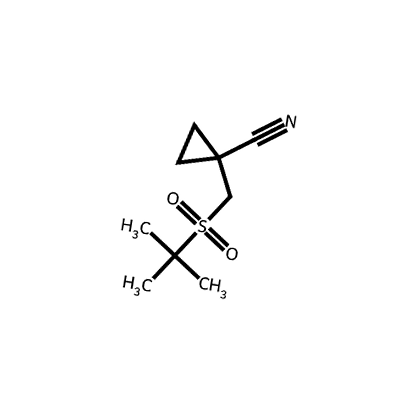 CC(C)(C)S(=O)(=O)CC1(C#N)CC1